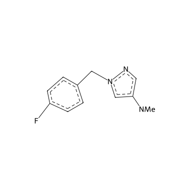 CNc1cnn(Cc2ccc(F)cc2)c1